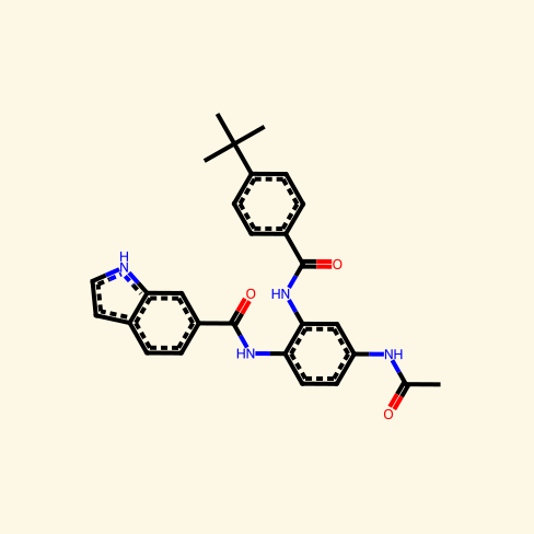 CC(=O)Nc1ccc(NC(=O)c2ccc3cc[nH]c3c2)c(NC(=O)c2ccc(C(C)(C)C)cc2)c1